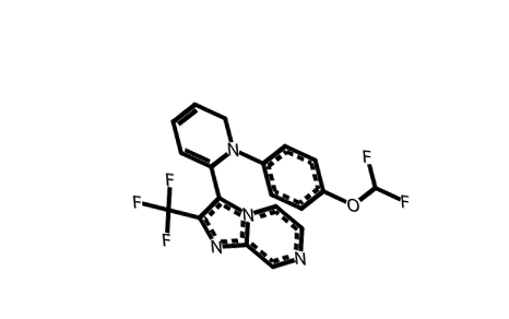 FC(F)Oc1ccc(N2CC=CC=C2c2c(C(F)(F)F)nc3cnccn23)cc1